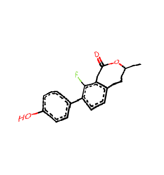 CC1Cc2ccc(-c3ccc(O)cc3)c(F)c2C(=O)O1